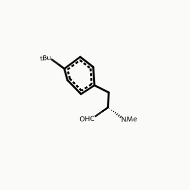 CN[C@H](C=O)Cc1ccc(C(C)(C)C)cc1